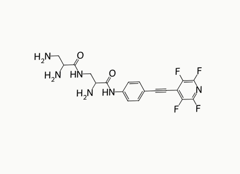 NCC(N)C(=O)NCC(N)C(=O)Nc1ccc(C#Cc2c(F)c(F)nc(F)c2F)cc1